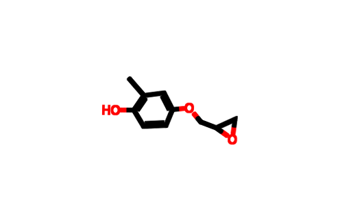 Cc1cc(OCC2CO2)ccc1O